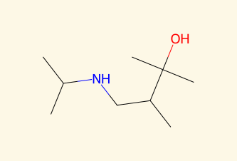 CC(C)NCC(C)C(C)(C)O